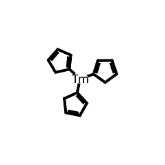 C1=CC[C]([Tm]([C]2=CC=CC2)[C]2=CC=CC2)=C1